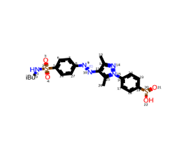 CCC(C)NS(=O)(=O)c1ccc(/N=N/c2c(C)nn(-c3ccc(S(=O)O)cc3)c2C)cc1